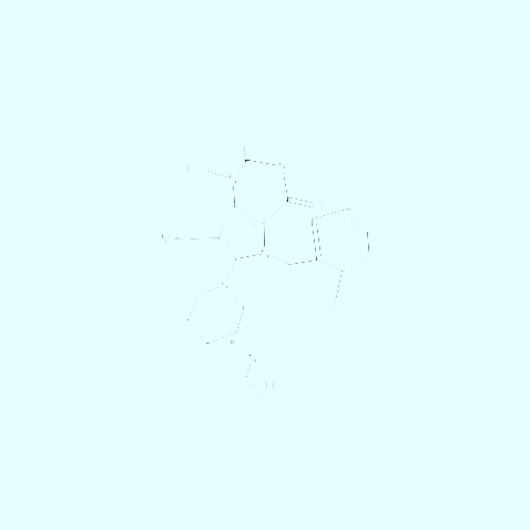 COc1c(N2CCC[C@@H](NC(=O)O)C2)n(Cc2ccccc2Cl)c2c(=O)n(C)c(=O)n(C)c12